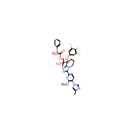 COc1nc(-c2nnc3n2CCC[C@@]3(Oc2cc(F)c(F)c(F)c2)C(C)(O)COC(=O)[C@H](O)c2ccccc2)ccc1-n1cnc(C)c1